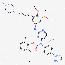 COc1cc(-n2cccn2)ccc1N(C(=O)Oc1c(C)cccc1C)c1ccnc(Nc2cc(OC)c(OC)c(OCCCN3CCN(C)CC3)c2)n1